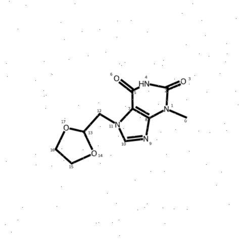 Cn1c(=O)[nH]c(=O)c2c1ncn2CC1OCCO1